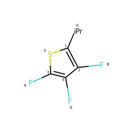 CC(C)c1sc(F)c(F)c1F